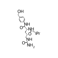 CC(C)[CH]C(=O)N[C@@H](CCCNC(N)=O)C(=O)Nc1ccc(CO)cc1